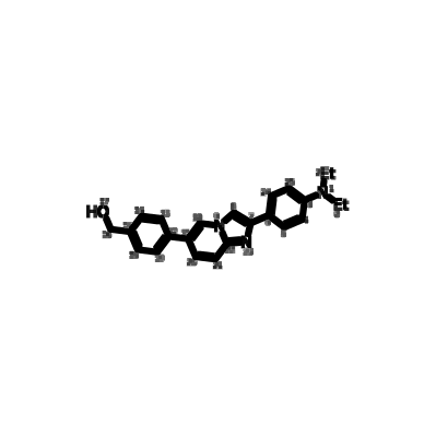 CCN(CC)c1ccc(-c2cn3cc(-c4ccc(CO)cc4)ccc3n2)cc1